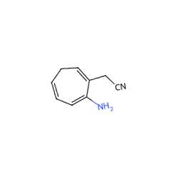 N#CCC1=CCC=CC=C1N